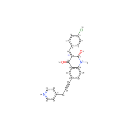 CN1C(=O)/C(=C\c2ccc(Cl)cc2)C(=O)c2cc(C#CCc3ccncc3)ccc21